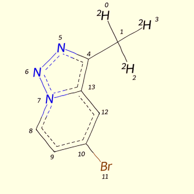 [2H]C([2H])([2H])c1nnn2ccc(Br)cc12